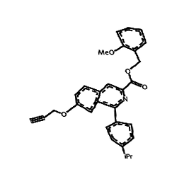 C#CCOc1ccc2cc(C(=O)OCc3ccccc3OC)nc(-c3ccc(C(C)C)cc3)c2c1